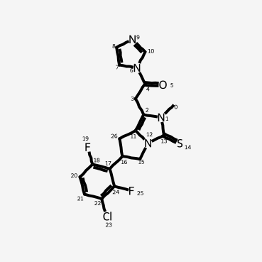 Cn1c(CC(=O)n2ccnc2)c2n(c1=S)CC(c1c(F)ccc(Cl)c1F)C2